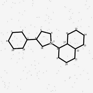 C1CCC(C2CCN(C3CCCC4CCCCC43)C2)CC1